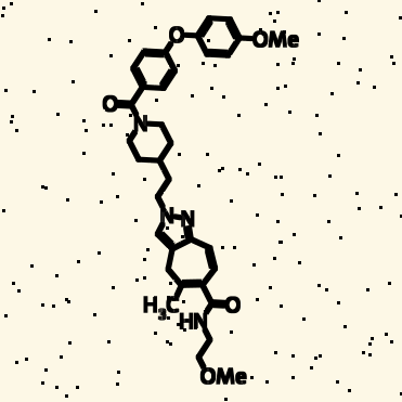 COCCNC(=O)C1=C(C)Cc2cn(CCC3CCN(C(=O)c4ccc(Oc5ccc(OC)cc5)cc4)CC3)nc2C=C1